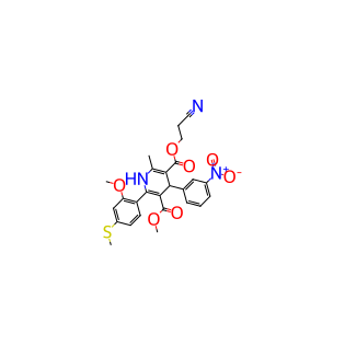 COC(=O)C1=C(c2ccc(SC)cc2OC)NC(C)=C(C(=O)OCCC#N)C1c1cccc([N+](=O)[O-])c1